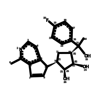 Cc1nccc2c1C=CC2[C@@H]1C[C@H](C(C)(O)c2ccc(F)cc2)[C@@H](O)[C@H]1O